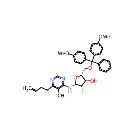 C=CCCc1ncnc(N[C@@H]2O[C@H](COC(c3ccccc3)(c3ccc(OC)cc3)c3ccc(OC)cc3)[C@@H](O)[C@H]2F)c1C